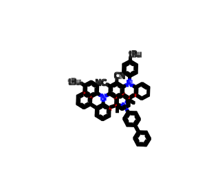 CC(C)(C)c1ccc(N(C2=C(c3ccccc3)CCC=C2)c2c(C#N)c(C#N)c(N(c3ccc(C(C)(C)C)cc3)c3ccccc3-c3ccccc3)c3c2C(C)(C)N(c2ccc(-c4ccccc4)cc2)C3(C)C)cc1